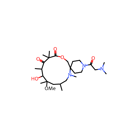 COC1(C)CC(C)CN(C)C2(CCN(C(=O)CN(C)C)CC2)COC(=O)C(C)(C)C(=O)C(C)C1O